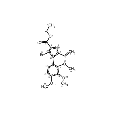 C=Cc1[nH]c(C(=O)OCC)c(Br)c1-c1ccc(OC)c(OC)c1OC